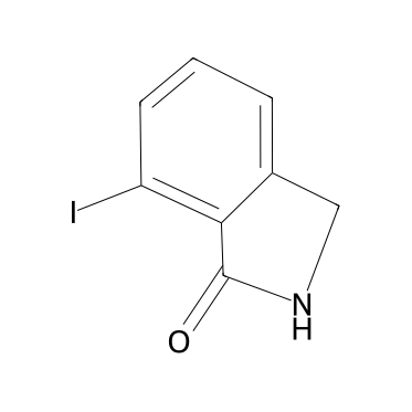 O=C1NCc2cccc(I)c21